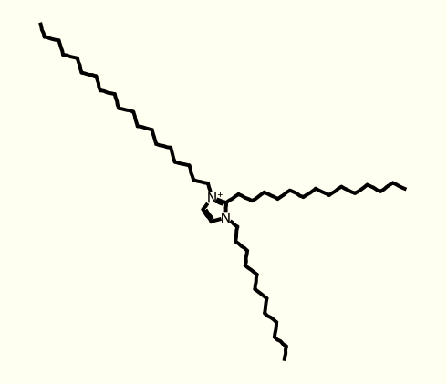 CCCCCCCCCCCCCCCCCCC[n+]1ccn(CCCCCCCCCCCC)c1CCCCCCCCCCCCCC